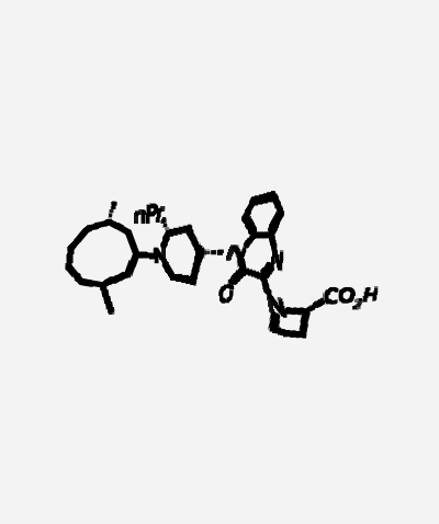 CCC[C@@H]1C[C@H](n2c(=O)c(N3CC[C@@H]3C(=O)O)nc3ccccc32)CCN1C1CC(C)CCCC[C@H](C)C1